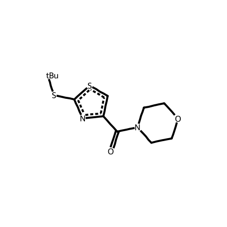 CC(C)(C)Sc1nc(C(=O)N2CCOCC2)cs1